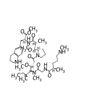 CC[C@H](C)[C@@H]([C@@H](CC(=O)N1CCC[C@H]1[C@H](OC)[C@@H](C)C(=O)N[C@@H](Cc1ccc2c(c1)CCCN2)C(=O)OC)OC)N(C)C(=O)CNC(=O)[C@H](C)CCCNC